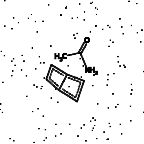 CC(N)=O.c1cc2ccc1-2